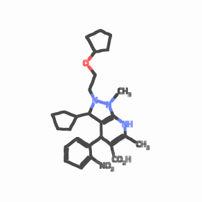 CC1=C(C(=O)O)C(c2ccccc2[N+](=O)[O-])C2=C(N1)N(C)N(CCOC1CCCC1)C2C1CCCC1